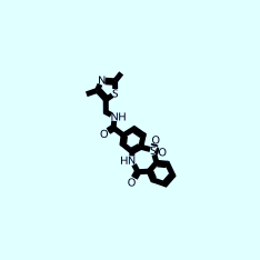 Cc1nc(C)c(CNC(=O)c2ccc3c(c2)NC(=O)c2ccccc2S3(=O)=O)s1